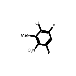 CNc1c(Cl)c(F)cc(F)c1[N+](=O)[O-]